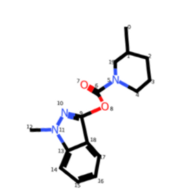 CC1CCCN(C(=O)Oc2nn(C)c3ccccc23)C1